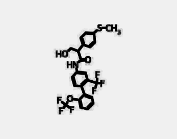 CSc1ccc(C(CO)C(=O)Nc2ccc(-c3ccccc3OC(F)(F)F)c(C(F)(F)F)c2)cc1